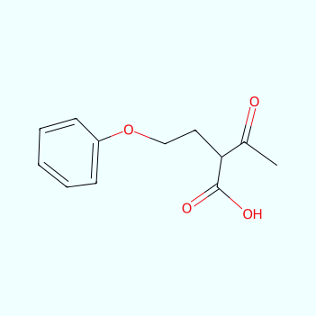 CC(=O)C(CCOc1ccccc1)C(=O)O